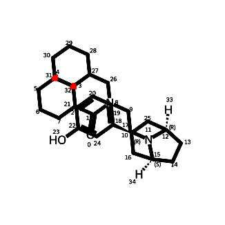 O=C(C1CCCCC1)N(CCN1[C@@H]2CC[C@H]1C[C@@H](c1cccc(O)c1)C2)CC1CCCCC1